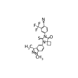 Cc1nn(C)c2ccc(N3C(=S)N(c4ccc(C#N)c(C(F)(F)F)c4)C(=O)C34CCC4)cc12